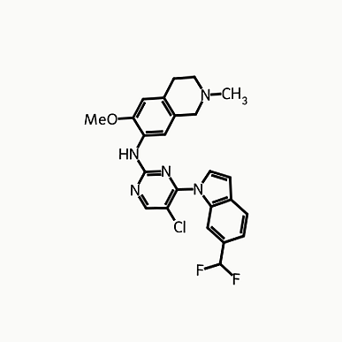 COc1cc2c(cc1Nc1ncc(Cl)c(-n3ccc4ccc(C(F)F)cc43)n1)CN(C)CC2